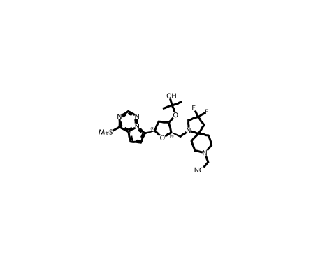 CSc1ncnn2c([C@H]3CC(OC(C)(C)O)[C@@H](CN4CC(F)(F)CC45CCN(CC#N)CC5)O3)ccc12